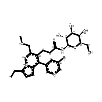 CCc1ccc2c(-c3cncc(Br)c3)c(CCC(=O)N[C@@H]3O[C@H](CO)[C@H](O)[C@H](O)[C@H]3O)c(COC)nn12